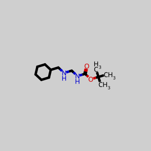 CC(C)(C)OC(=O)NCNCC1CCCCC1